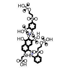 O=S(=O)(O)CNc1ccc2c(O)c(/N=N/c3ccc(S(=O)(=O)CCOS(=O)(=O)O)cc3S(=O)(=O)O)c(S(=O)(=O)O)cc2c1/N=N/c1ccccc1S(=O)(=O)CCOS(=O)(=O)O